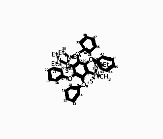 CCN(CC)P(C)(=S)c1c(Oc2ccccc2)c(Oc2ccccc2)c(P(=S)(N(CC)CC)N(CC)CC)c(Oc2ccccc2)c1Oc1ccccc1